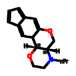 CCCN1CCO[C@H]2C3C=C4C=CC=C4C=C3OC[C@@H]21